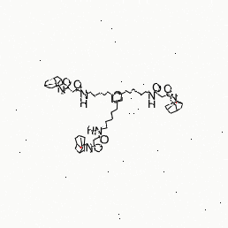 CN(C(=O)CC(=O)NCCCCCc1cc(CCCCCNC(=O)CC(=O)N(C)C23CC4CC(CC(C4)C2)C3)cc(CCCCCNC(=O)CC(=O)N(C)C23CC4CC(CC(C4)C2)C3)c1)C12CC3CC(CC(C3)C1)C2